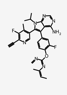 C#Cc1ncc(-c2c(-c3ccc(O/C(N=C)=N/C(C)=C\C)c(F)c3)c3c(N)ncnc3n2C(C)C)c(C)c1F